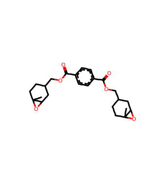 CC12CCC(COC(=O)c3ccc(C(=O)OCC4CCC5(C)OC5C4)cc3)CC1O2